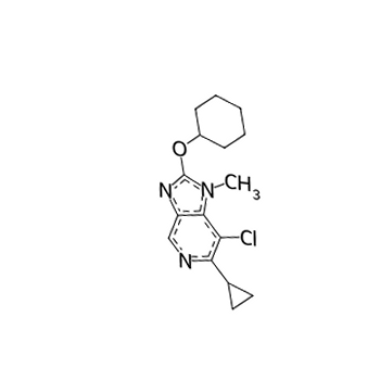 Cn1c(OC2CCCCC2)nc2cnc(C3CC3)c(Cl)c21